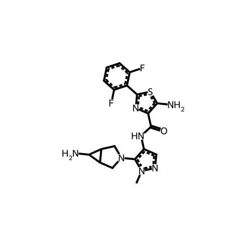 Cn1ncc(NC(=O)c2nc(-c3c(F)cccc3F)sc2N)c1N1CC2C(N)C2C1